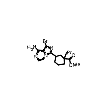 COC(=O)C1(C(C)C)CCCC(c2nc(Br)c3c(N)nccn23)C1